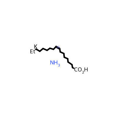 CC[CH]([K])CCCCC/C=C\CCCCCCCC(=O)O.N